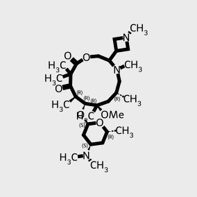 CO[C@]1(C)C[C@@H](C)CN(C)C(C2CN(C)C2)COC(=O)C(C)(C)C(=O)[C@H](C)[C@H]1O[C@H]1C[C@@H](N(C)C)C[C@@H](C)O1